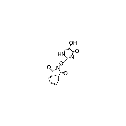 O=C1c2ccccc2C(=O)N1OCc1nc(=O)c(O)c[nH]1